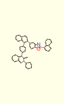 C=C1C(c2ccc(-c3c(-c4ccc5oc(-c6cccc7ccccc67)nc5c4)ccc4ccccc34)cc2)=c2ccccc2=CC1c1ccccc1